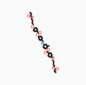 C=CC(=O)OCCCCOc1ccc(C(=O)Oc2ccc(/C=N/c3ccc(OC(=O)c4ccc(OCCCCOC(=O)C=C)cc4)c(C)c3)cc2)cc1